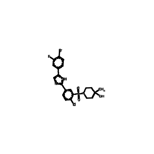 CC1(O)CCN(S(=O)(=O)c2cc(-c3ncc(-c4ccc(Br)c(F)c4)[nH]3)ccc2Cl)CC1